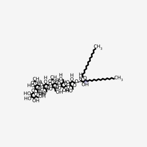 CCCCCCCCCCCCC/C=C/[C@@H](O)[C@H](CO[C@@H]1OC(CO)[C@@H](O[C@@H]2OC(CO)[C@H](O[C@@H]3OC(CO)[C@H](O)[C@H](O[C@@H]4OC(CO)[C@H](O)[C@H](O[C@@H]5OC(CO)[C@@H](O[C@@H]6OC(CO)[C@H](O)[C@H](O)C6O)[C@H](O)C5NC(C)=O)C4O)C3NC(C)=O)[C@H](O)C2O)[C@H](O)C1O)NC(=O)CCCCCCCCCCCCCCC